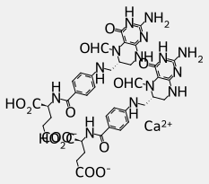 Nc1nc2c(c(=O)[nH]1)N(C=O)[C@@H](CNc1ccc(C(=O)N[C@@H](CCC(=O)[O-])C(=O)O)cc1)CN2.Nc1nc2c(c(=O)[nH]1)N(C=O)[C@@H](CNc1ccc(C(=O)N[C@@H](CCC(=O)[O-])C(=O)O)cc1)CN2.[Ca+2]